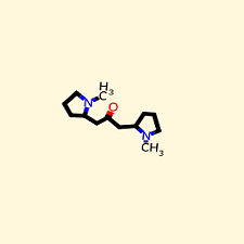 CN1CCCC1CC(=O)CC1CCCN1C